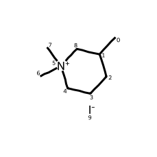 CC1CCC[N+](C)(C)C1.[I-]